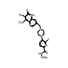 CCc1c(N)c2ncc(CN3CCN(c4ccc(C(=O)NOC)nc4F)CC3)cc2[nH]c1=O